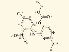 CCOC(=O)Oc1cnc(SC)nc1Nc1ccc(Cl)cc1[N+](=O)[O-]